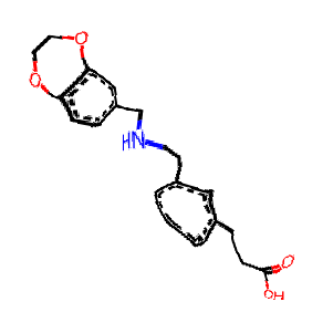 O=C(O)CCc1cccc(CNCc2ccc3c(c2)OCCO3)c1